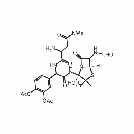 CNC(=O)CC(N)C(=O)NC(C(=O)N[C@@]1(C(=O)O)N2C(=O)[C@@H](NC=O)[C@H]2SC1(C)C)c1ccc(OC(C)=O)c(OC(C)=O)c1